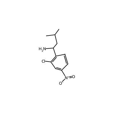 CC(C)CC(N)c1ccc([N+](=O)[O-])cc1Cl